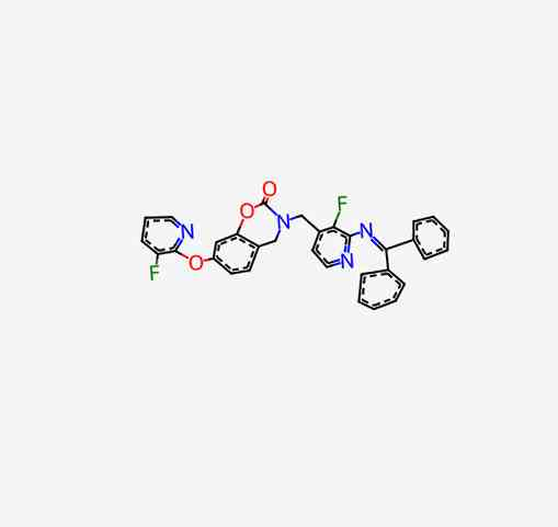 O=C1Oc2cc(Oc3ncccc3F)ccc2CN1Cc1ccnc(N=C(c2ccccc2)c2ccccc2)c1F